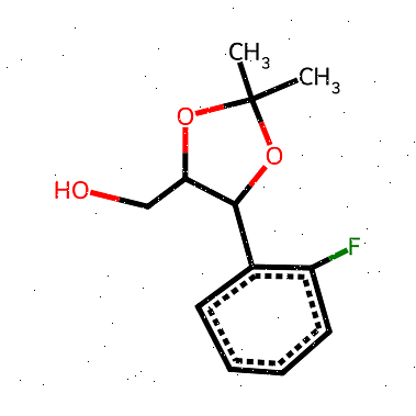 CC1(C)OC(CO)C(c2ccccc2F)O1